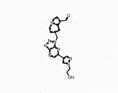 O=Cc1ccn2ccc(Cn3nnc4ncc(-c5cnn(CCO)c5)nc43)cc12